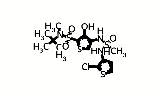 CN(C(C)(C)C)S(=O)(=O)c1scc(N[SH](C)(=O)Nc2ccsc2Cl)c1O